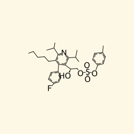 CCCCCc1c(C(C)C)nc(C(C)C)c([C@H](O)COS(=O)(=O)Oc2ccc(C)cc2)c1-c1ccc(F)cc1